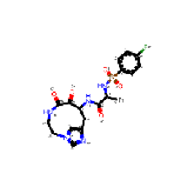 CC(C)C(NS(=O)(=O)c1ccc(F)cc1)C(=O)NC1Cc2cn(cn2)CCNC(=O)C1=O